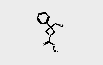 CC(C)(C)OC(=O)N1CC(CN)(c2ccccc2)C1